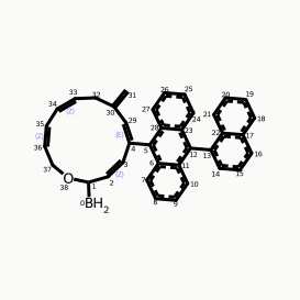 BC1/C=C\C(c2c3ccccc3c(-c3cccc4ccccc34)c3ccccc23)=C/C(=C)C/C=C\C=C/CO1